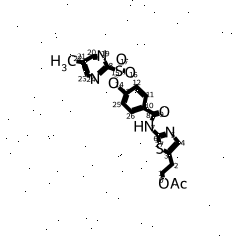 CC(=O)OCCc1cnc(NC(=O)c2ccc(OS(=O)(=O)c3ncc(C)cn3)cc2)s1